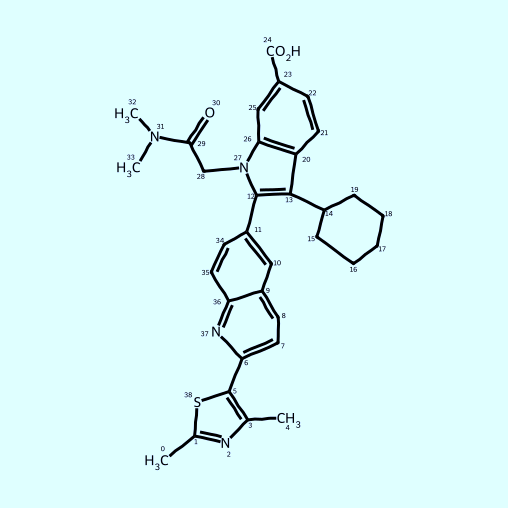 Cc1nc(C)c(-c2ccc3cc(-c4c(C5CCCCC5)c5ccc(C(=O)O)cc5n4CC(=O)N(C)C)ccc3n2)s1